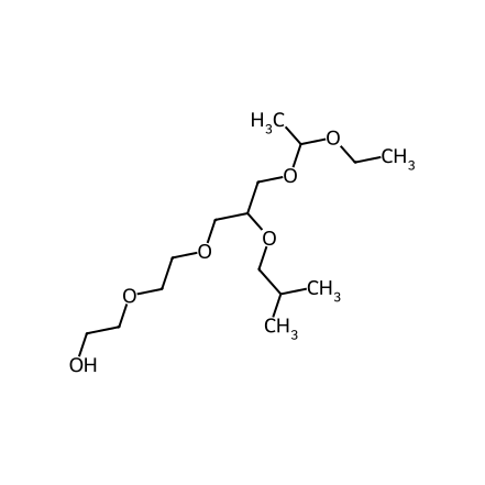 CCOC(C)OCC(COCCOCCO)OCC(C)C